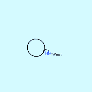 CCCCCNC/C1=C/CCCCCCCCCCCCCC1